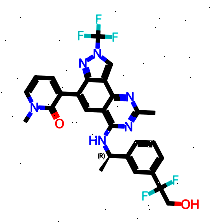 Cc1nc(N[C@H](C)c2cccc(C(F)(F)CO)c2)c2cc(-c3cccn(C)c3=O)c3nn(C(F)(F)F)cc3c2n1